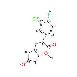 COC(=O)C(CC1CCC(=O)C1)c1ccc(F)c(Cl)c1